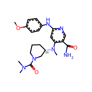 COc1ccc(Nc2cc(N(C)[C@H]3CCCN(C(=O)N(C)C)C3)c(C(N)=O)cn2)cc1